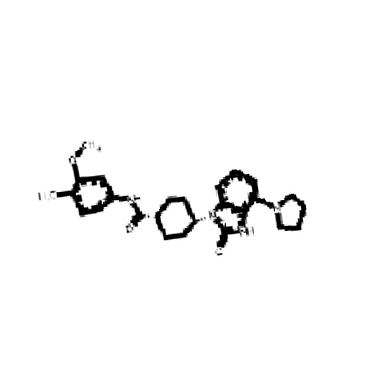 COc1cc(NC(=O)[C@H]2CC[C@@H](n3c(=O)[nH]c4c(N5CCCC5)cccc43)CC2)ccc1C